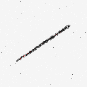 CCCCCCCCCCCCCCCCCCCCCCCCCCCCCCCCCCCCCCCCCCCCCCCCCCCCCCCCCCCCCCCCCCCCCCCCCCCC